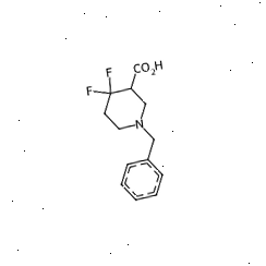 O=C(O)C1CN(Cc2ccccc2)CCC1(F)F